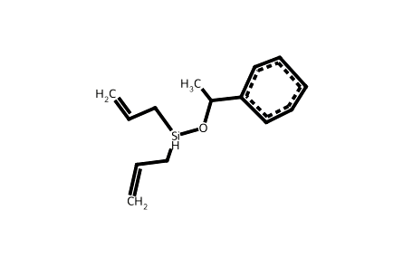 C=CC[SiH](CC=C)OC(C)c1ccccc1